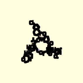 COc1nn(C)cc1C(=O)NS1(=O)=NC(=O)c2ccc3c(c2)N(C[C@H](C(C)C)[C@@H](C)[C@](O)(CC(=O)N2CC[N@]4CCOC[C@H](C2)C4)/C=C/C[C@H](C)C1)C[C@@]1(CCCc2cc(Cl)ccc2C1)CO3